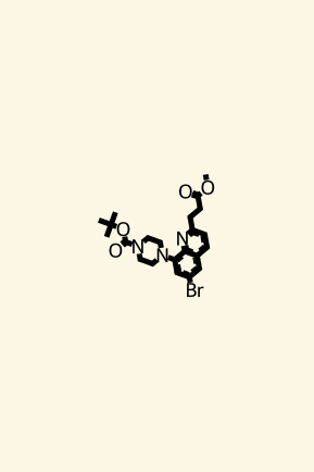 COC(=O)CCc1ccc2cc(Br)cc(N3CCN(C(=O)OC(C)(C)C)CC3)c2n1